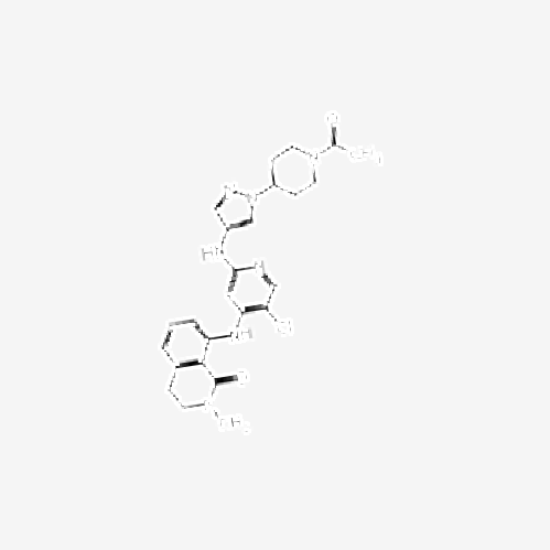 CC(=O)N1CCC(n2cc(Nc3cc(Nc4cccc5c4C(=O)N(C)CC5)c(Cl)cn3)cn2)CC1